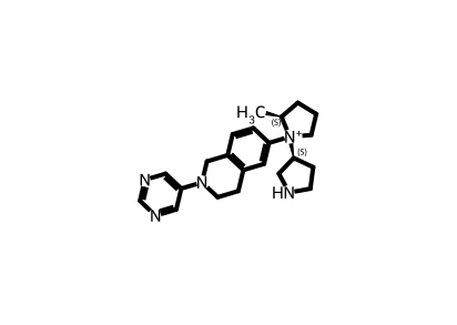 C[C@H]1CCC[N+]1(c1ccc2c(c1)CCN(c1cncnc1)C2)[C@H]1CCNC1